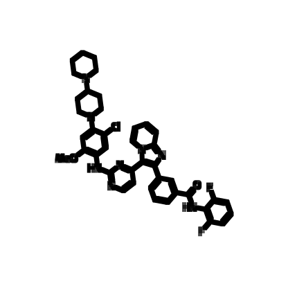 COc1cc(N2CCC(N3CCCCC3)CC2)c(Cl)cc1Nc1nccc(-c2c(-c3cccc(C(=O)Nc4c(F)cccc4F)c3)nc3ccccn23)n1